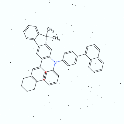 CC1(C)c2ccccc2-c2cc(-c3ccc4c(c3)CCCC4)c(N(c3ccccc3)c3ccc(-c4cccc5ccccc45)cc3)cc21